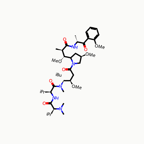 CC[C@H](C)[C@@H]([C@@H](CC(=O)N1C[C@H](OC)CC1[C@H](OC)[C@@H](C)C(=O)N[C@H](C)C(=O)c1ccccc1OC)OC)N(C)C(=O)[C@@H](NC(=O)[C@H](C(C)C)N(C)C)C(C)C